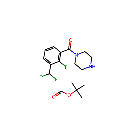 CC(C)(C)OC=O.O=C(c1cccc(C(F)F)c1F)N1CCNCC1